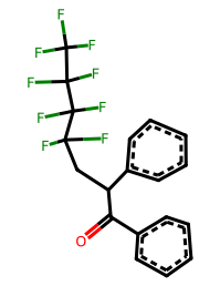 O=C(c1ccccc1)C(CC(F)(F)C(F)(F)C(F)(F)C(F)(F)F)c1ccccc1